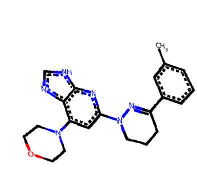 Cc1cccc(C2=NN(c3cc(N4CCOCC4)c4nc[nH]c4n3)CCC2)c1